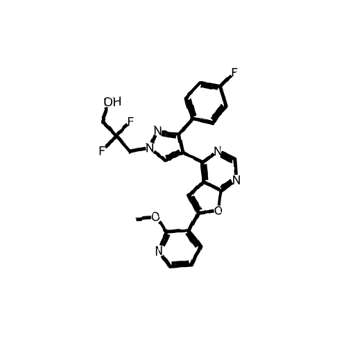 COc1ncccc1-c1cc2c(-c3cn(CC(F)(F)CO)nc3-c3ccc(F)cc3)ncnc2o1